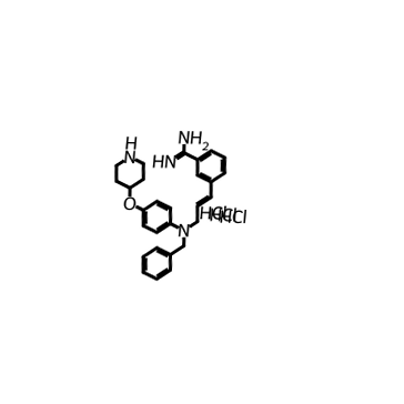 Cl.Cl.Cl.N=C(N)c1cccc(C=CCN(Cc2ccccc2)c2ccc(OC3CCNCC3)cc2)c1